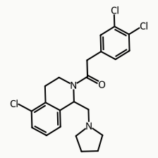 O=C(Cc1ccc(Cl)c(Cl)c1)N1CCc2c(Cl)cccc2C1CN1CCCC1